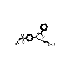 CCS(=O)(=O)c1ccc([C@H](COCCOC)NC(=O)c2ccccc2)cc1